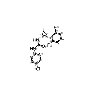 O=C(Nc1ccc(Cl)cn1)N[C@@H]1C[C@@H]1c1c(F)cccc1F